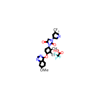 CCc1c(Oc2ncnc3cc(OC)ccc23)ccc(N2C(=O)CN(c3cncc(C(F)(F)F)c3)C2=O)c1C.O=C(O)C(F)(F)F